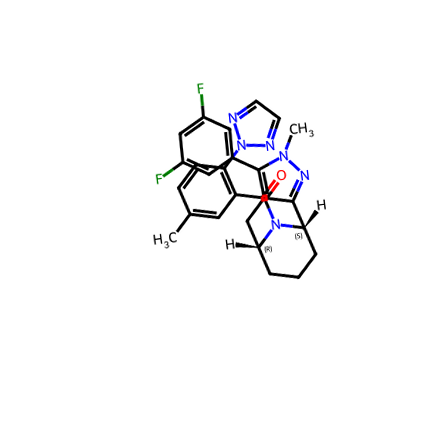 Cc1ccc(-n2nccn2)c(C(=O)N2[C@@H]3CCC[C@H]2c2nn(C)c(-c4cc(F)cc(F)c4)c2C3)c1